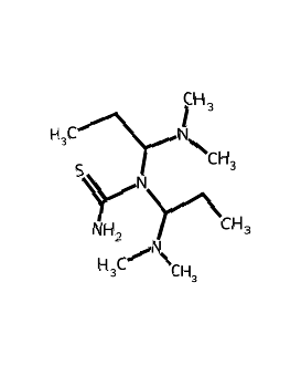 CCC(N(C)C)N(C(N)=S)C(CC)N(C)C